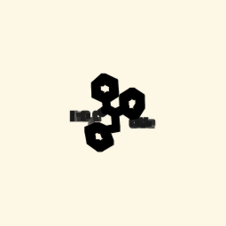 CCOC(=O)C(c1ccccc1)C(Cc1ccccc1)c1ccccc1OC